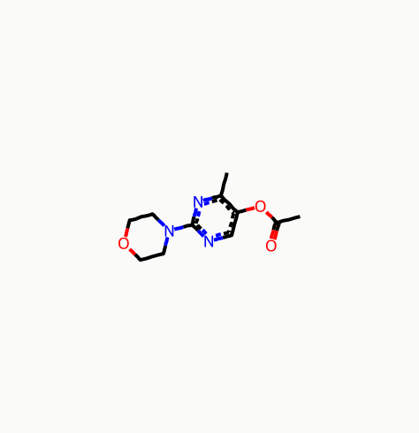 CC(=O)Oc1cnc(N2CCOCC2)nc1C